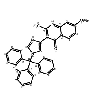 COc1ccn2c(=O)c(-c3cn(C(c4ccccc4)(c4ccccc4)c4ccccc4I)cn3)c(C(F)(F)F)nc2c1